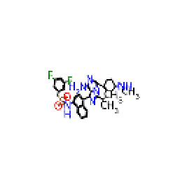 CNC1CC=C(c2cnc(N)c3c(-c4ccc(NS(=O)(=O)Cc5cc(F)cc(F)c5)c5ccccc45)nc(C(C)C)n23)CC1